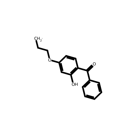 [CH2]CCOc1ccc(C(=O)c2ccccc2)c(O)c1